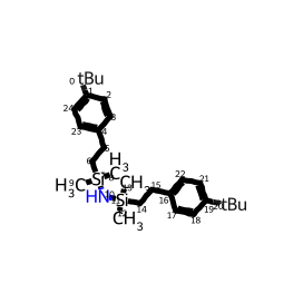 CC(C)(C)c1ccc(CC[Si](C)(C)N[Si](C)(C)CCc2ccc(C(C)(C)C)cc2)cc1